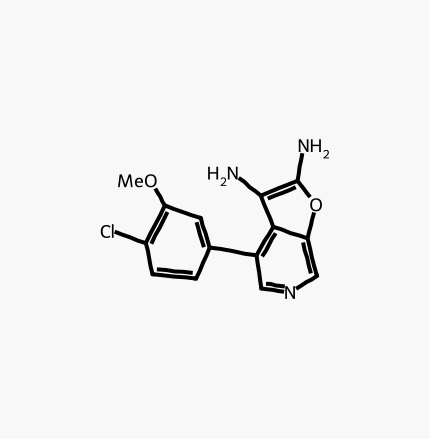 COc1cc(-c2cncc3oc(N)c(N)c23)ccc1Cl